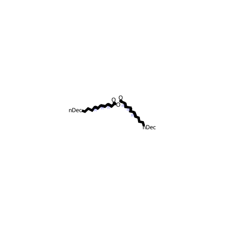 CCCCCCCCCCCCC/C=C/C=C/C=C/C(=O)OC(=O)/C=C/C=C/C=C/CCCCCCCCCCCCC